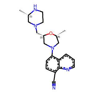 C[C@@H]1CN(c2ccc(C#N)c3ncccc23)C[C@H](CN2CCN[C@@H](C)C2)O1